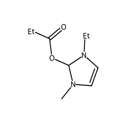 CCC(=O)OC1N(C)C=CN1CC